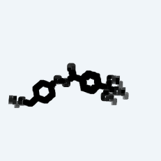 CCC1CC[C](OOC(=O)c2ccc([Si](C)(C)C)cc2)CC1